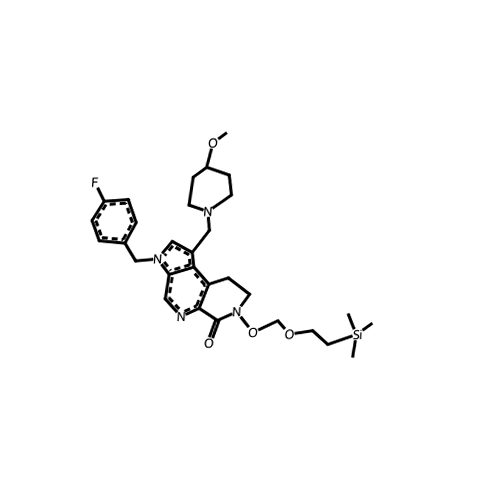 COC1CCN(Cc2cn(Cc3ccc(F)cc3)c3cnc4c(c23)CCN(OCOCC[Si](C)(C)C)C4=O)CC1